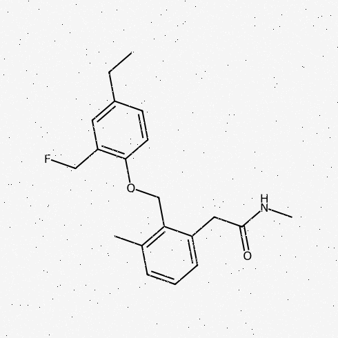 CCc1ccc(OCc2c(C)cccc2CC(=O)NC)c(CF)c1